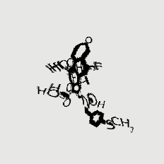 CSc1ccc(CN(O)C[C@@H]2C[C@H]3[C@@H]4C[C@H](F)C5=CC(=O)C=C[C@]5(C)[C@@]4(F)[C@@H](O)C[C@]3(C)[C@H]2C(=O)CO)cc1